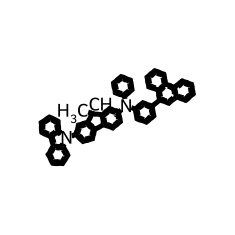 CC1(C)c2cc(N(c3ccccc3)c3cccc(-c4cc5ccccc5c5ccccc45)c3)ccc2-c2ccc(-n3c4ccccc4c4ccccc43)cc21